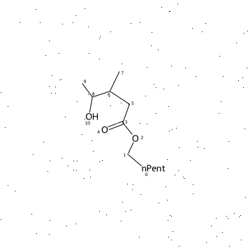 CCCCCCOC(=O)CC(C)C(C)O